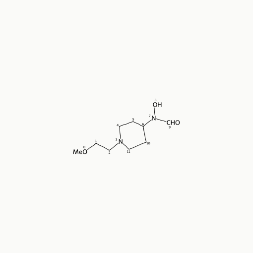 COCCN1CCC(N(O)C=O)CC1